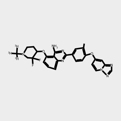 [2H]C([2H])([2H])N1CCC(Oc2cccc3nc(-c4ccc(Oc5ccn6ncnc6c5)c(C)c4)nc(N)c23)C(F)(F)C1